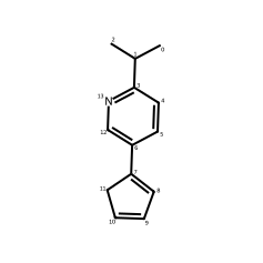 CC(C)c1ccc(C2=CC=CC2)cn1